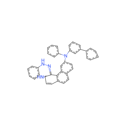 N=C1C=Cc2ccc3ccc(N(c4ccccc4)c4cccc(-c5ccccc5)c4)cc3c2/C1=N/Nc1ccccc1